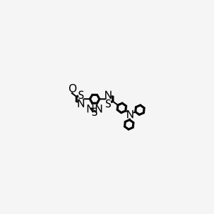 O=Cc1cnc(-c2ccc(-c3ncc(-c4ccc(N(c5ccccc5)c5ccccc5)cc4)s3)c3nsnc23)s1